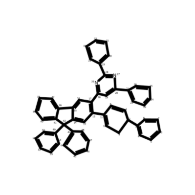 C1=CC(c2ccccc2)CC=C1c1cc2c(cc1-c1cc(-c3ccccc3)nc(-c3ccccc3)n1)-c1ccccc1C2(c1ccccc1)c1ccccc1